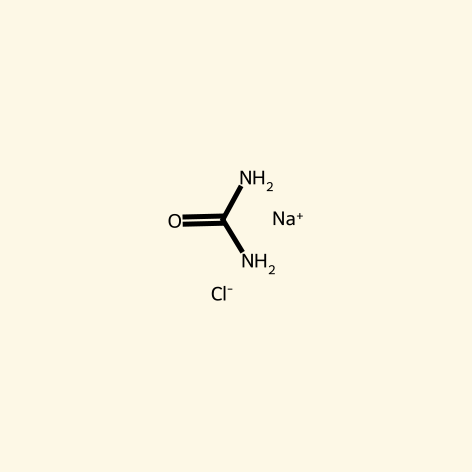 NC(N)=O.[Cl-].[Na+]